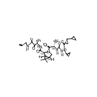 C=CCNC(=O)C(=O)C(CCC)NC(=O)[C@@H]1[C@@H]2[C@H](CN1C(=O)[C@@H](NC(=O)N[C@H](C(=O)OCC1CC1)C1CC1)C(C)(C)C)C2(C)C